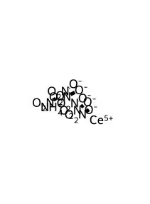 O=[N+]([O-])[O-].O=[N+]([O-])[O-].O=[N+]([O-])[O-].O=[N+]([O-])[O-].O=[N+]([O-])[O-].O=[N+]([O-])[O-].[Ce+5].[NH4+]